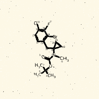 CN(C(=O)OC(C)(C)C)C1(Cc2ccc(Cl)c(F)c2Br)CC1